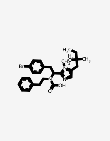 CCC(C)(C)Cc1cnc(C(Cc2ccc(Br)cc2)N(CCc2ccccc2)C(=O)O)n1C